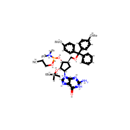 COc1ccc(C(OC[C@H]2C[C@@H](n3cnc4c(=O)[nH]c(N)nc43)[C@H](O[Si](C)(C)C(C)(C)C)[C@@H]2OP(OCCC#N)N(C(C)C)C(C)C)(c2ccccc2)c2ccc(OC)cc2)cc1